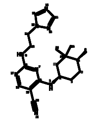 C[C@H]1CC[C@@H](Nc2nc(NCCn3cncn3)ncc2C#N)CC1(C)C